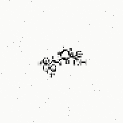 COC(/C=C/c1cccc(C(=O)O)c1)(OC)OC